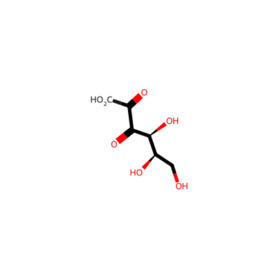 O=C(O)C(=O)C(=O)[C@@H](O)[C@H](O)CO